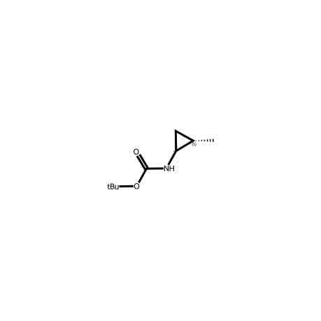 C[C@H]1C[C]1NC(=O)OC(C)(C)C